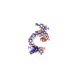 CC(OC(=O)O[C@@H]1C[C@@H](C(=O)N[C@@H](C)c2ccc(C#N)cc2)N(C(=O)[C@@H](c2cc(N3CCC(CN4CCC(OC5CC(Oc6cc(N7C8CCC7CN(c7cc(-c9ccccc9O)nnc7N)C8)ccn6)C5)CC4)CC3)no2)C(C)C)C1)C(C)SS(C)(=O)=O